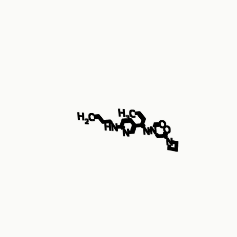 C=CCCNc1ccc(C(/C=C\C)=N/N(C=O)CC(=O)N2CCC2)cn1